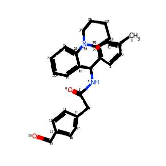 Cc1ccc(C(NC(=O)Cc2ccc(C=O)cc2)c2ccccc2N2CCCCC2)cc1